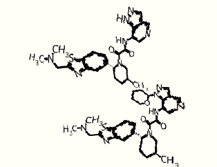 C[C@H]1CC[C@H](c2ccc3sc(CN(C)C)nc3c2)N(C(=O)C(=O)Nc2cncc3cn[nH]c23)C1.C[C@H]1CC[C@H](c2ccc3sc(CN(C)C)nc3c2)N(C(=O)C(=O)Nc2cncc3cnn(C4CCCCO4)c23)C1